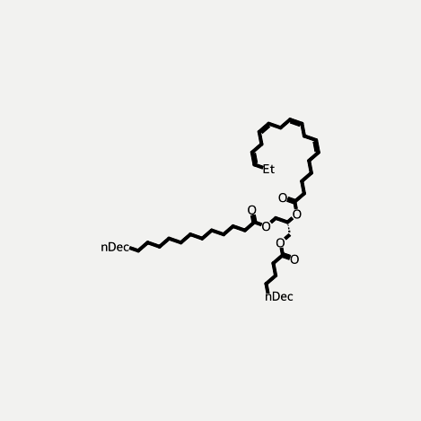 CC/C=C\C/C=C\C/C=C\C/C=C\CCCCC(=O)O[C@H](COC(=O)CCCCCCCCCCCCC)COC(=O)CCCCCCCCCCCCCCCCCCCCC